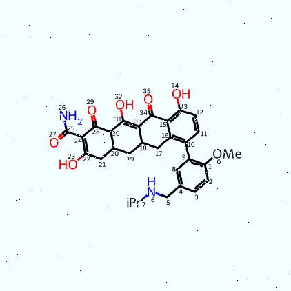 COc1ccc(CNC(C)C)cc1-c1ccc(O)c2c1CC1CC3CC(O)=C(C(N)=O)C(=O)C3C(O)=C1C2=O